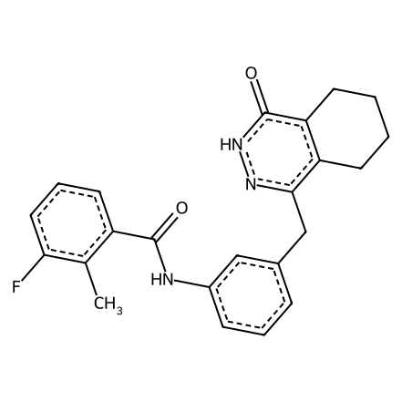 Cc1c(F)cccc1C(=O)Nc1cccc(Cc2n[nH]c(=O)c3c2CCCC3)c1